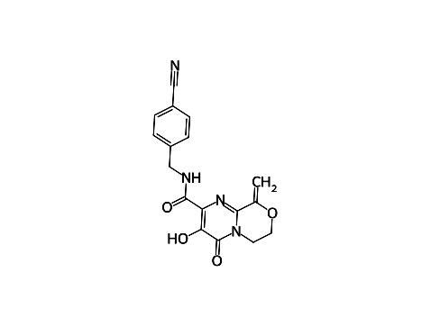 C=C1OCCn2c1nc(C(=O)NCc1ccc(C#N)cc1)c(O)c2=O